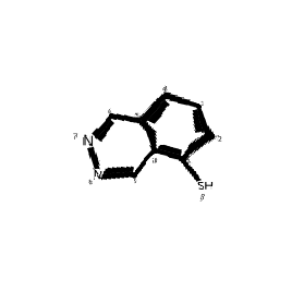 Sc1cccc2cnncc12